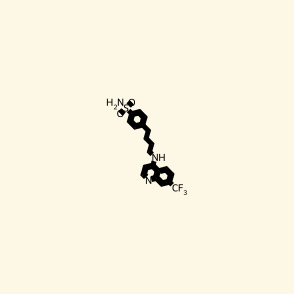 NS(=O)(=O)c1ccc(CCCCNc2ccnc3cc(C(F)(F)F)ccc23)cc1